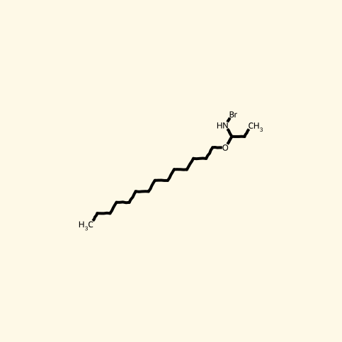 CCCCCCCCCCCCCCOC(CC)NBr